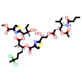 CCCC(=O)N[C@@H](C(C)C)[C@@H](CC(=O)OC[C@@H](O)c1nc(C(=O)O[C@@H](CCCC(C)(Cl)Cl)[C@@H](C)C(=O)O[C@@H](c2nc(C(=O)OC)cs2)[C@@](C)(O)CC)cs1)OC(C)=O